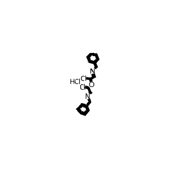 Cl.ClC(C=NCc1ccccc1)OC(Cl)C=NCc1ccccc1